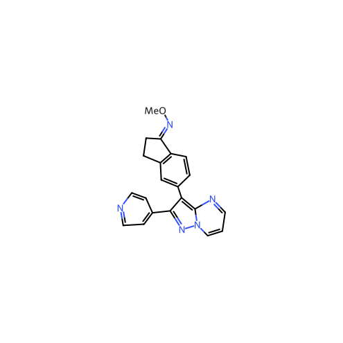 CON=C1CCc2cc(-c3c(-c4ccncc4)nn4cccnc34)ccc21